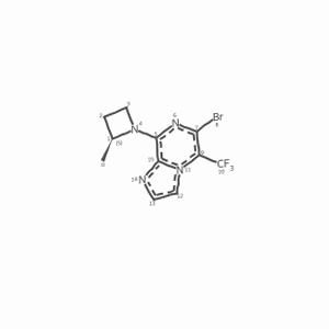 C[C@H]1CCN1c1nc(Br)c(C(F)(F)F)n2ccnc12